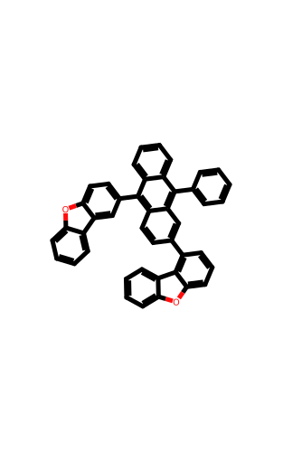 c1ccc(-c2c3ccccc3c(-c3ccc4oc5ccccc5c4c3)c3ccc(-c4cccc5oc6ccccc6c45)cc23)cc1